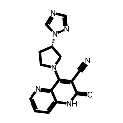 N#Cc1c(N2CC[C@H](n3cncn3)C2)c2ncccc2[nH]c1=O